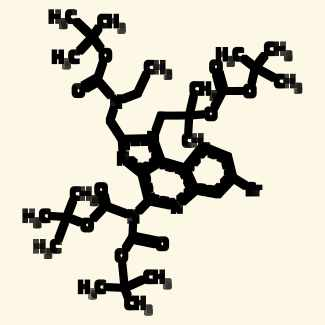 CCN(Cc1nc2c(N(C(=O)OC(C)(C)C)C(=O)OC(C)(C)C)nc3cc(Br)ccc3c2n1CC(C)(C)OC(=O)OC(C)(C)C)C(=O)OC(C)(C)C